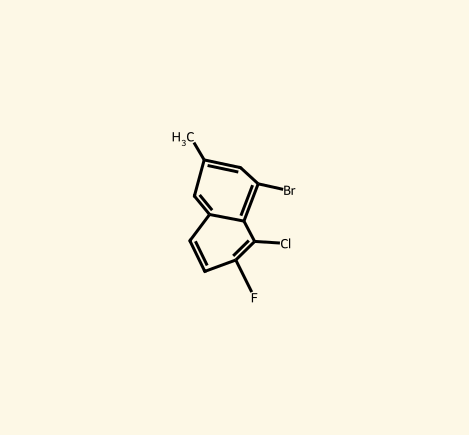 Cc1cc(Br)c2c(Cl)c(F)ccc2c1